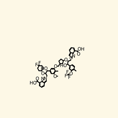 COc1cc(C(O)C(Cn2cc3cccc(C(=O)O)c3n2)OC2CCC(F)(F)CC2)cc(OCC2CCC(OC(Cn3cc4cccc(C(=O)O)c4n3)C(O)c3ccc(C)c(OC(F)(F)F)c3)C2)c1C